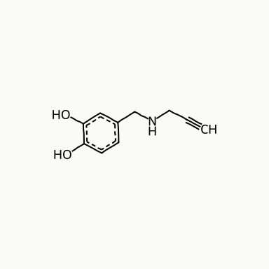 C#CCNCc1ccc(O)c(O)c1